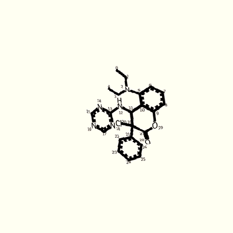 CCN(CC)c1cccc2c1C(Nc1ncncn1)C(Cl)(c1ccccc1)C(=O)O2